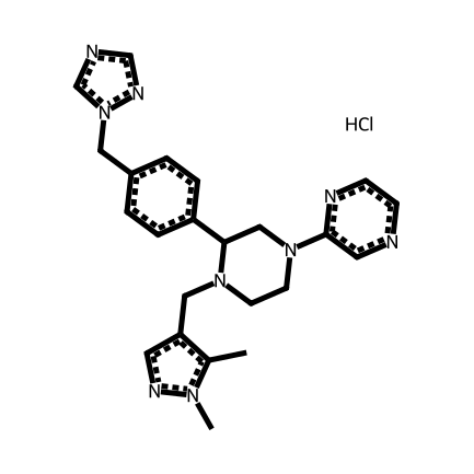 Cc1c(CN2CCN(c3cnccn3)CC2c2ccc(Cn3cncn3)cc2)cnn1C.Cl